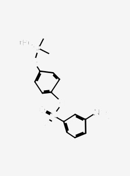 CC(C)(C)[Si](C)(C)Oc1ccc(OS(=O)(=O)c2cccc([N+](=O)[O-])c2)cc1